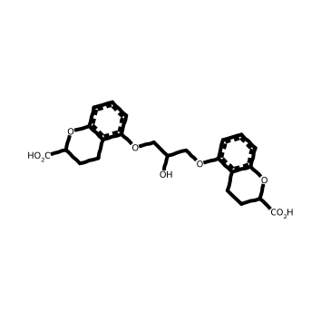 O=C(O)C1CCc2c(OCC(O)COc3cccc4c3CCC(C(=O)O)O4)cccc2O1